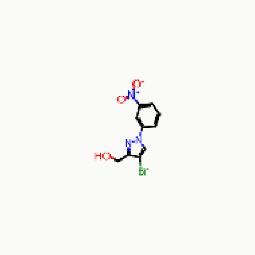 O=[N+]([O-])c1cccc(-n2cc(Br)c(CO)n2)c1